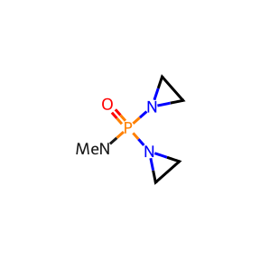 CNP(=O)(N1CC1)N1CC1